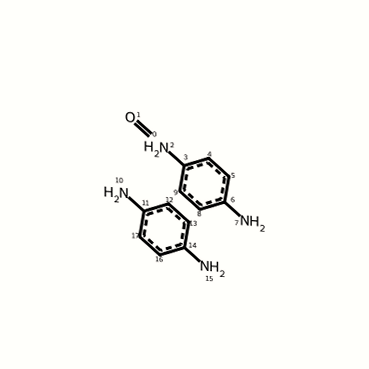 C=O.Nc1ccc(N)cc1.Nc1ccc(N)cc1